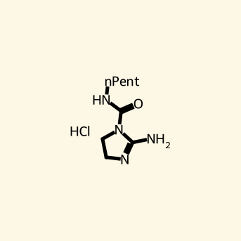 CCCCCNC(=O)N1CCN=C1N.Cl